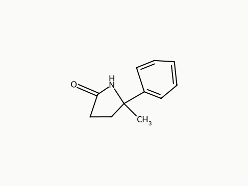 CC1(c2ccccc2)CCC(=O)N1